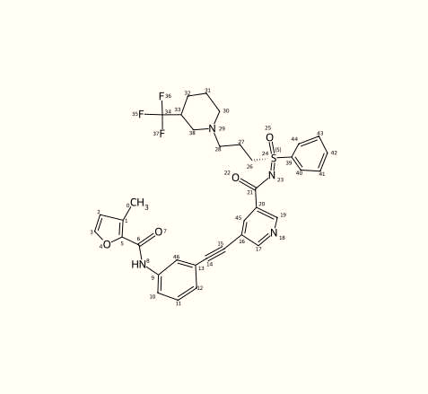 Cc1ccoc1C(=O)Nc1cccc(C#Cc2cncc(C(=O)N=[S@](=O)(CCCN3CCCC(C(F)(F)F)C3)c3ccccc3)c2)c1